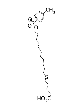 Cc1ccc(S(=O)(=O)OCCCCCCCCCCCSCCCCC(=O)O)cc1